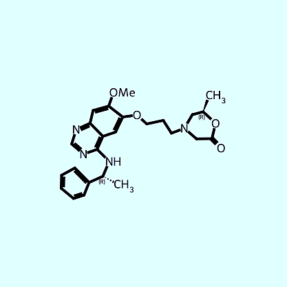 COc1cc2ncnc(N[C@H](C)c3ccccc3)c2cc1OCCCN1CC(=O)O[C@H](C)C1